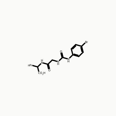 CCCC(NC(=O)CNC(=O)Nc1ccc(Br)cc1)C(=O)O